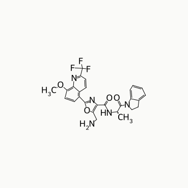 COc1ccc(-c2nc(C(=O)N[C@H](C)C(=O)N3CCc4ccccc43)c(CN)o2)c2ccc(C(F)(F)F)nc12